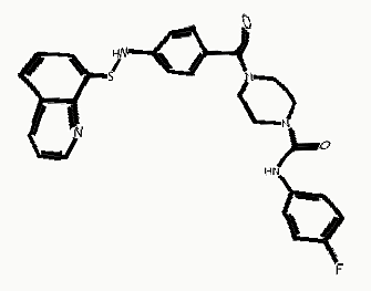 O=C(Nc1ccc(F)cc1)N1CCN(C(=O)c2ccc(NSc3cccc4cccnc34)cc2)CC1